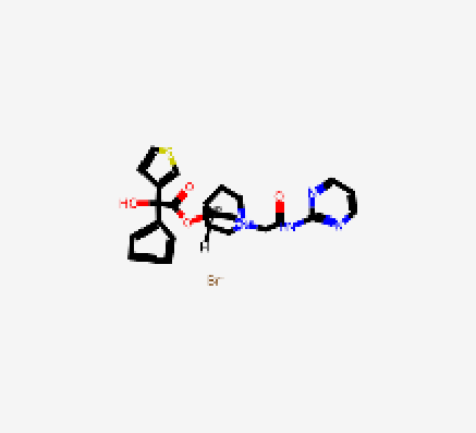 O=C(C[N+]12CCC(CC1)[C@@H](OC(=O)C(O)(c1ccccc1)c1ccsc1)C2)Nc1ncccn1.[Br-]